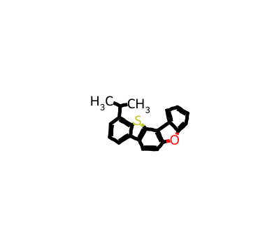 CC(C)c1cccc2c1sc1c2ccc2oc3ccccc3c21